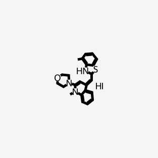 Cc1cccc2c1NC(C=C1C=C(N3CCOCC3)N(C)c3ccccc31)S2.I